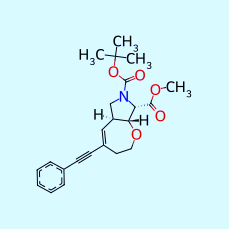 COC(=O)[C@@H]1[C@@H]2OCCC(C#Cc3ccccc3)=C[C@H]2CN1C(=O)OC(C)(C)C